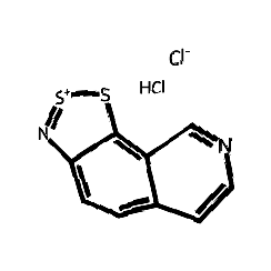 Cl.[Cl-].c1cc2ccc3n[s+]sc3c2cn1